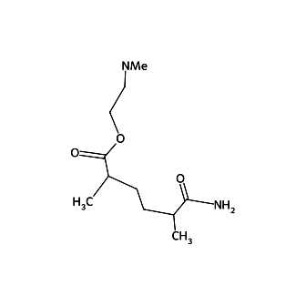 CNCCOC(=O)C(C)CCC(C)C(N)=O